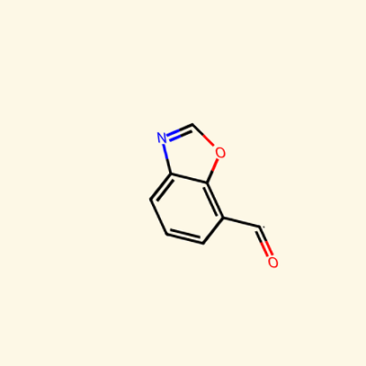 O=[C]c1cccc2ncoc12